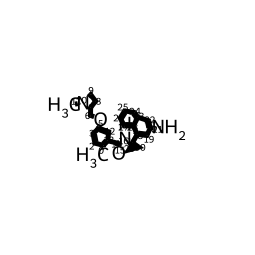 Cc1ccc(OCC2CCN2C)cc1C(=O)NC1(c2cc(N)cc3ccccc23)CC1